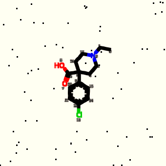 CCN1CCC(C(=O)O)(c2ccc(Cl)cc2)CC1